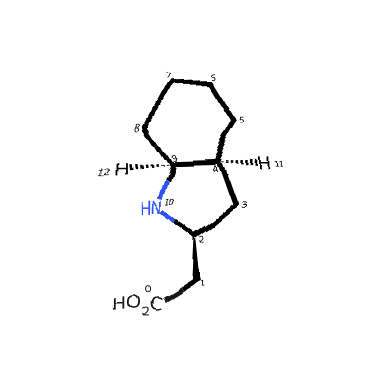 O=C(O)C[C@@H]1C[C@@H]2CCCC[C@@H]2N1